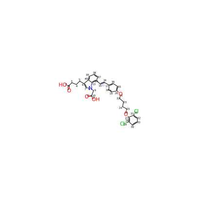 O=C(O)CCCc1cn(CC(=O)O)c2c(/C=C/c3ccc(OCCCCOc4c(Cl)cccc4Cl)cc3)cccc12